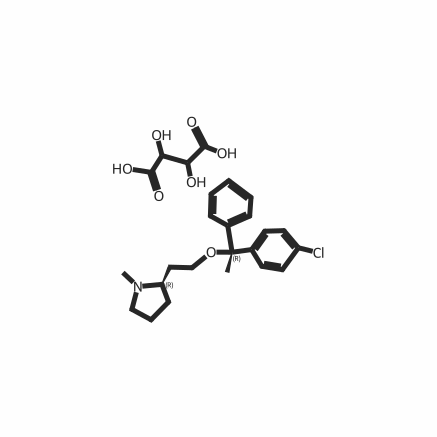 CN1CCC[C@@H]1CCO[C@](C)(c1ccccc1)c1ccc(Cl)cc1.O=C(O)C(O)C(O)C(=O)O